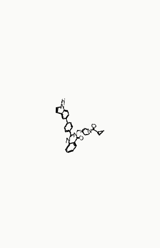 O=C(C1CC1)N1CC[C@@H](Cn2c(-c3ccc(-c4ccc5[nH]ccc5c4)cc3)nc3ccccc3c2=O)C1